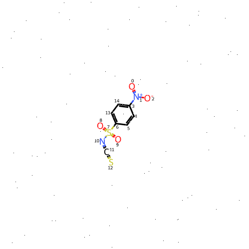 O=[N+]([O-])c1ccc(S(=O)(=O)N=C=S)cc1